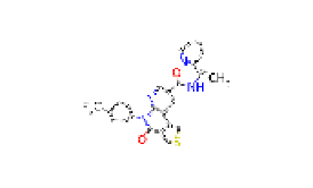 C[C@H](NC(=O)c1cnc2c(c1)c1cscc1c(=O)n2-c1ccc(C(F)(F)F)cc1)c1ccccn1